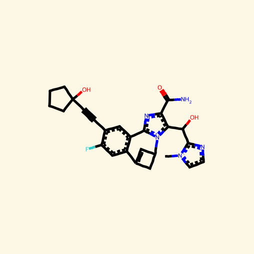 Cn1ccnc1C(O)c1c(C(N)=O)nc2n1C1C=C(C1)c1cc(F)c(C#CC3(O)CCCC3)cc1-2